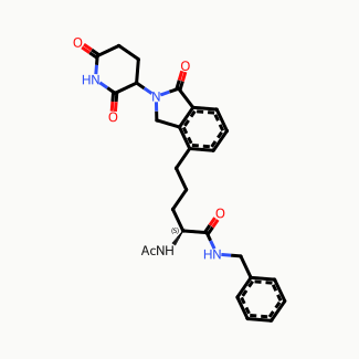 CC(=O)N[C@@H](CCCc1cccc2c1CN(C1CCC(=O)NC1=O)C2=O)C(=O)NCc1ccccc1